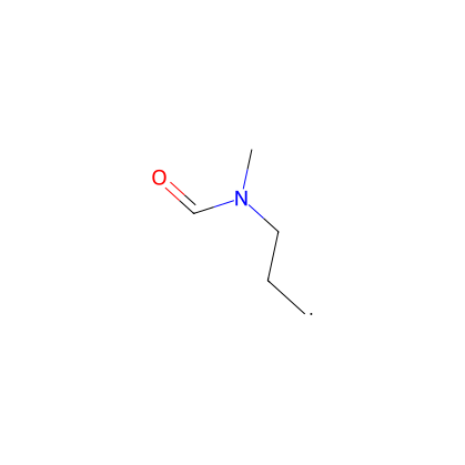 [CH2]CCN(C)C=O